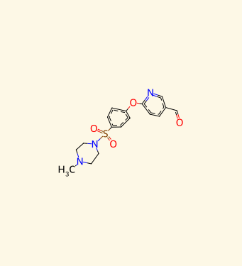 CN1CCN(S(=O)(=O)c2ccc(Oc3ccc(C=O)cn3)cc2)CC1